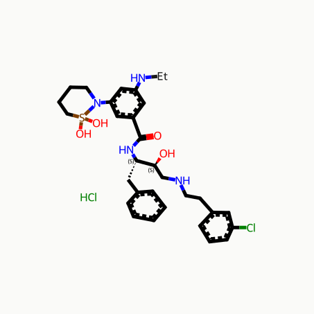 CCNc1cc(C(=O)N[C@@H](Cc2ccccc2)[C@@H](O)CNCCc2cccc(Cl)c2)cc(N2CCCCS2(O)O)c1.Cl